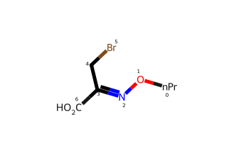 CCCO/N=C(\CBr)C(=O)O